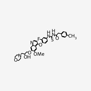 COc1cc2c(Oc3ccc(NC(=S)NC(=O)Cc4ccc(C)cc4)cc3F)ccnc2cc1OCC(O)CN1CCOCC1